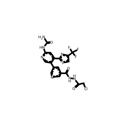 NC(=O)Nc1cc(-c2nc(C(F)(F)F)cs2)c(-c2cncc(C(=O)NNC(=O)CCl)c2)cn1